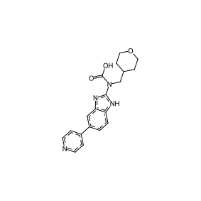 O=C(O)N(CC1CCOCC1)c1nc2cc(-c3ccncc3)ccc2[nH]1